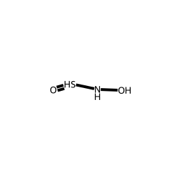 O=[SH]NO